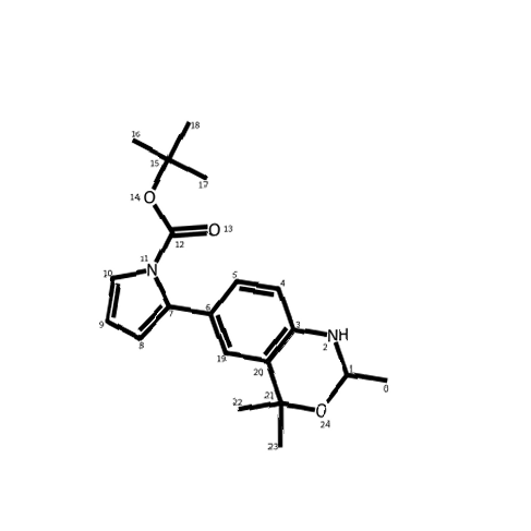 CC1Nc2ccc(-c3cccn3C(=O)OC(C)(C)C)cc2C(C)(C)O1